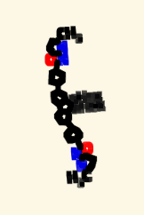 CCCCCCC1(CCCCCC)c2cc(-c3ccc(-c4nc5nc(C)ccc5o4)cc3)ccc2-c2ccc(-c3ccc(-c4nc5nc(C)ccc5o4)cc3)cc21